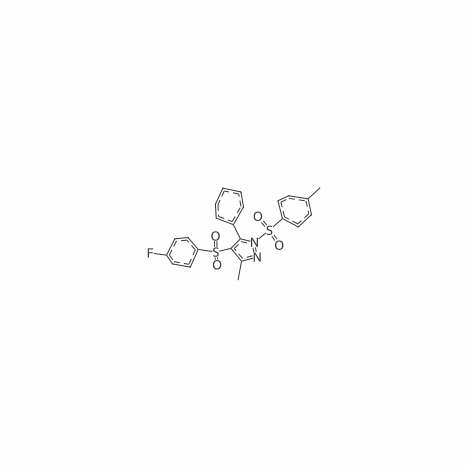 Cc1ccc(S(=O)(=O)n2nc(C)c(S(=O)(=O)c3ccc(F)cc3)c2-c2ccccc2)cc1